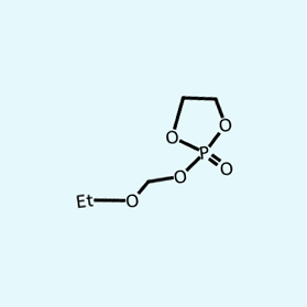 CCOCOP1(=O)OCCO1